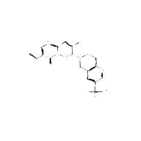 C=Cc1cnc2n(c1=O)NC(N1CCc3ncc(C(F)(F)P)cc3C1)C(C)=C2